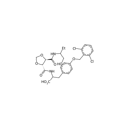 CCC(CO)NC(=O)[C@@H]1OCO[C@H]1C(=O)NC(Cc1ccc(OCc2c(Cl)cccc2Cl)cc1)C(=O)O